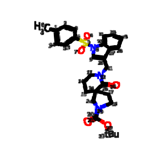 Cc1ccc(S(=O)(=O)n2cc(CN3CCCC4(CCN(C(=O)OC(C)(C)C)C4)C3=O)c3ccccc32)cc1